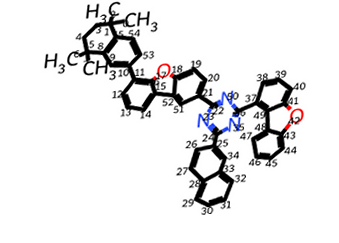 CC1(C)CCC(C)(C)c2cc(-c3cccc4c3oc3ccc(-c5nc(-c6ccc7ccccc7c6)nc(-c6cccc7oc8ccccc8c67)n5)cc34)ccc21